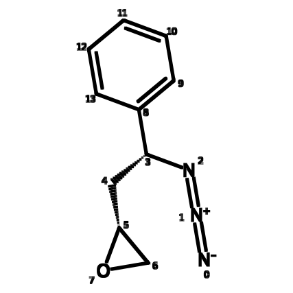 [N-]=[N+]=N[C@H](C[C@@H]1CO1)c1ccccc1